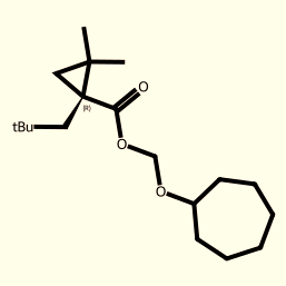 CC(C)(C)C[C@@]1(C(=O)OCOC2CCCCCC2)CC1(C)C